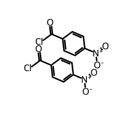 O=C(Cl)c1ccc([N+](=O)[O-])cc1.O=C(Cl)c1ccc([N+](=O)[O-])cc1